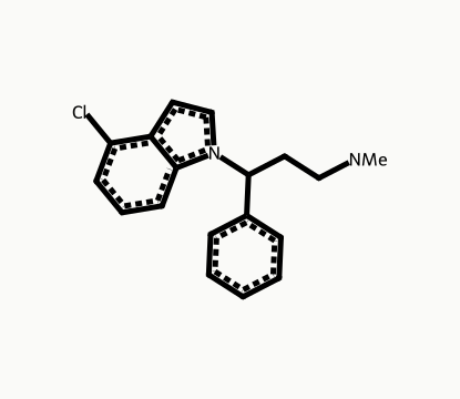 CNCCC(c1ccccc1)n1ccc2c(Cl)cccc21